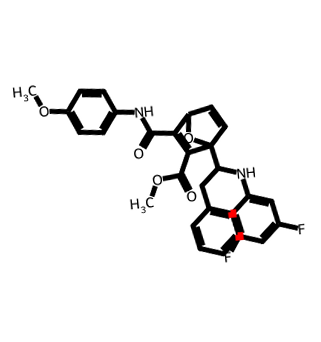 COC(=O)C1=C(C(=O)Nc2ccc(OC)cc2)C2C=CC1(C(Cc1ccccc1)Nc1cc(F)cc(F)c1)O2